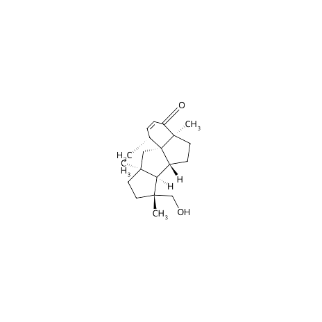 C[C@@H]1C=CC(=O)[C@@]2(C)CC[C@@H]3[C@@H]4[C@@](C)(CC[C@@]4(C)CO)C[C@@]132